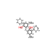 CC(C)(C)c1cc(Cc2cc(C(C)(C)C)cc(C3CCCCC3)c2O)c(O)c(C2CCCCC2)c1